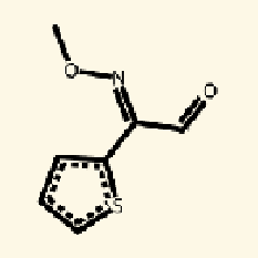 CO/N=C(/[C]=O)c1cccs1